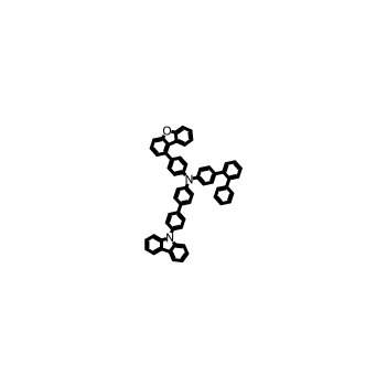 c1ccc(-c2ccccc2-c2ccc(N(c3ccc(-c4ccc(-n5c6ccccc6c6ccccc65)cc4)cc3)c3ccc(-c4cccc5oc6ccccc6c45)cc3)cc2)cc1